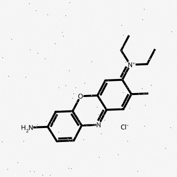 CC[N+](CC)=c1cc2oc3cc(N)ccc3nc-2cc1C.[Cl-]